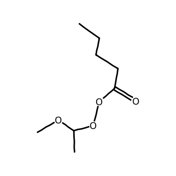 CCCCC(=O)OOC(C)OC